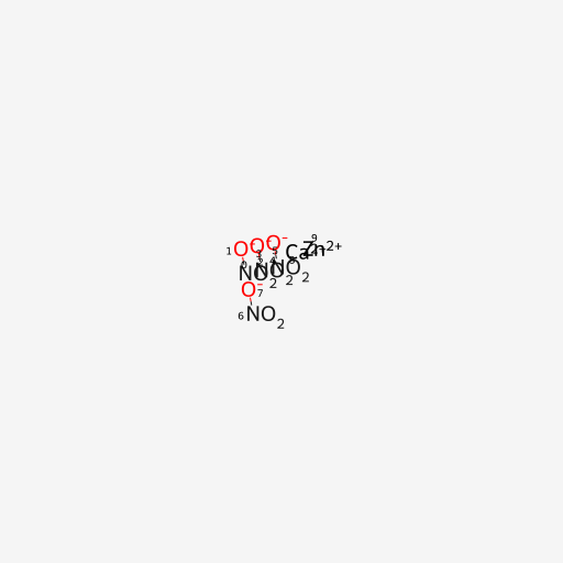 O=[N+]([O-])[O-].O=[N+]([O-])[O-].O=[N+]([O-])[O-].O=[N+]([O-])[O-].[Ca+2].[Zn+2]